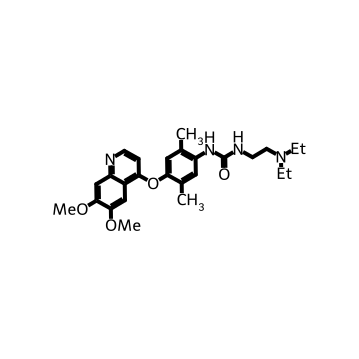 CCN(CC)CCNC(=O)Nc1cc(C)c(Oc2ccnc3cc(OC)c(OC)cc23)cc1C